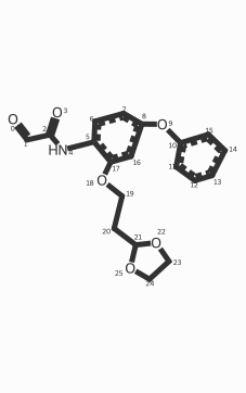 O=CC(=O)Nc1ccc(Oc2ccccc2)cc1OCCC1OCCO1